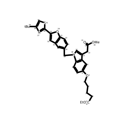 CCOC(=O)CCCCOc1ccc2c(c1)c(CC(=O)OC)cn2Cc1ccc2oc(-c3nc(C(C)(C)C)cs3)cc2c1